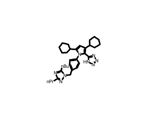 CCCCc1nc(CCC)nn1Cc1ccc(-n2c(C3CCCCC3)cc(C3CCCCC3)c2-c2nnn[nH]2)cc1